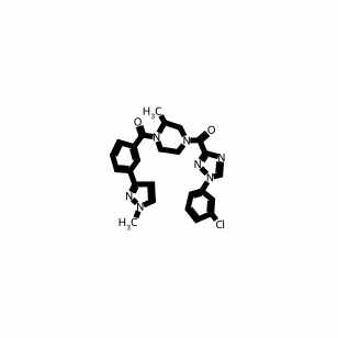 CC1CN(C(=O)c2ncn(-c3cccc(Cl)c3)n2)CCN1C(=O)c1cccc(-c2ccn(C)n2)c1